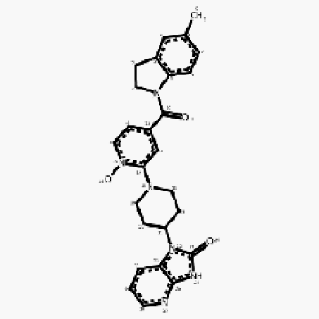 Cc1ccc2c(c1)CCN2C(=O)c1cc[n+]([O-])c(N2CCC(n3c(=O)[nH]c4ncccc43)CC2)c1